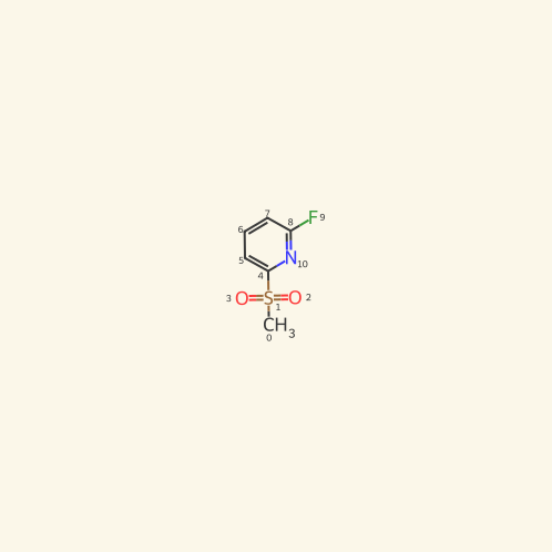 CS(=O)(=O)c1cccc(F)n1